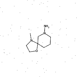 CN1CCOC12CCCN(N)C2